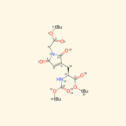 CC(C)(C)OC(=O)CN1C(=O)C=C(C[C@H](NC(=O)OC(C)(C)C)C(=O)OC(C)(C)C)C1=O